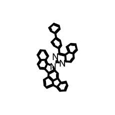 c1ccc(-c2ccc(-c3nc(-n4c5cc6c7c(cccc7c5c5ccc7ccccc7c54)-c4ccccc4-6)nc4ccc5ccccc5c34)cc2)cc1